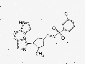 C[C@@H]1CC(/C=N/S(=O)(=O)c2cccc(Cl)c2)C[C@@H]1c1ncc2cnc3[nH]ccc3n12